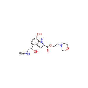 CC(C)(C)NCC(O)c1ccc(O)c2[nH]c(C(=O)OCCN3CCOCC3)cc12